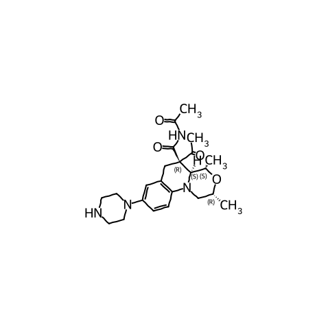 CC(=O)NC(=O)[C@]1(C(C)=O)Cc2cc(N3CCNCC3)ccc2N2C[C@@H](C)O[C@@H](C)[C@@H]21